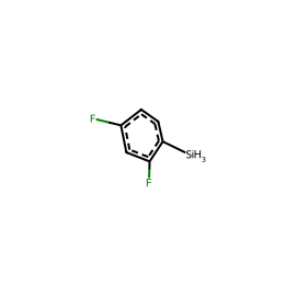 Fc1ccc([SiH3])c(F)c1